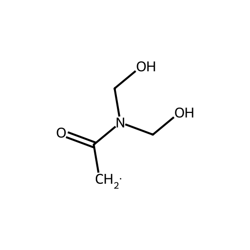 [CH2]C(=O)N(CO)CO